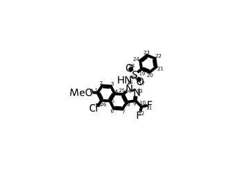 COc1ccc2c(ccc3c(C(F)F)nn(NS(=O)(=O)c4ccccc4)c32)c1Cl